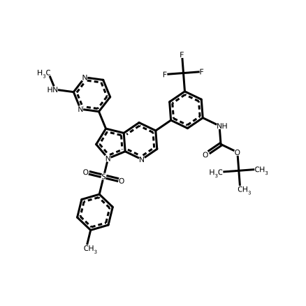 CNc1nccc(-c2cn(S(=O)(=O)c3ccc(C)cc3)c3ncc(-c4cc(NC(=O)OC(C)(C)C)cc(C(F)(F)F)c4)cc23)n1